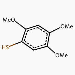 COc1cc(OC)c(OC)cc1S